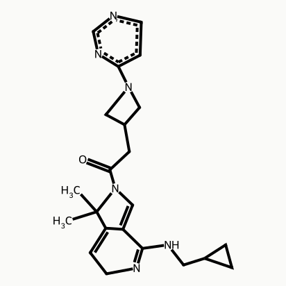 CC1(C)C2=CCN=C(NCC3CC3)C2=CN1C(=O)CC1CN(c2ccncn2)C1